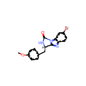 COc1ccc(C[C@H]2NC(=O)n3c2nc2ccc(Br)cc23)cc1